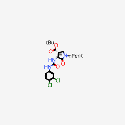 CCCCCN1C[C@@H](C(=O)OC(C)(C)C)[C@@H](NC(=O)Nc2ccc(Cl)c(Cl)c2)C1=O